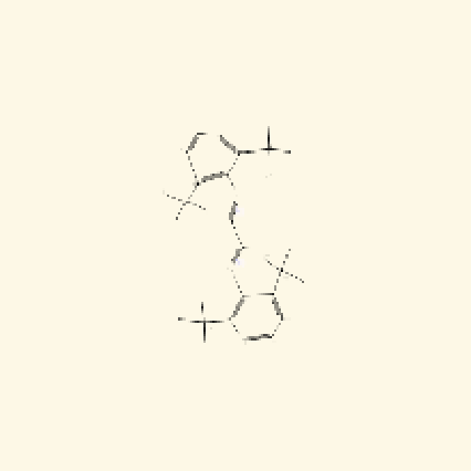 CC(C)(C)c1cccc(C(C)(C)C)c1/N=C/C=N/c1c(C(C)(C)C)cccc1C(C)(C)C